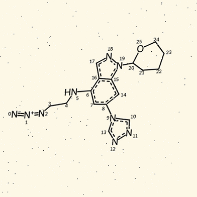 [N-]=[N+]=NCCNc1cc(-n2cnnc2)cc2c1cnn2C1CCCCO1